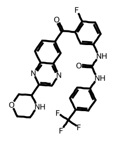 O=C(Nc1ccc(C(F)(F)F)cc1)Nc1ccc(F)c(C(=O)c2ccc3nc(C4COCCN4)cnc3c2)c1